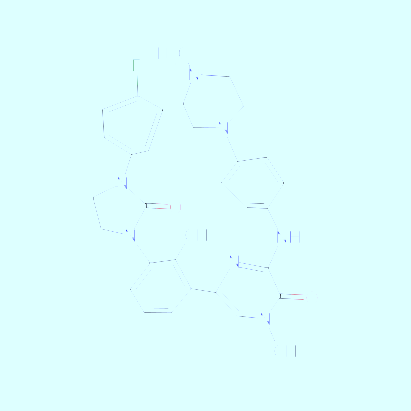 Cc1c(-c2cn(C)c(=O)c(Nc3ccc(N4CCN(C)CC4)cc3)n2)cccc1N1CCN(c2ccc(F)cc2)C1=O